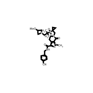 COC1CN(CC(C)(C)S(=O)(=O)C2(CN3CCc4c(C(=O)NCc5ccc(C#N)cc5)nn(C)c4C3=O)CC2)C1